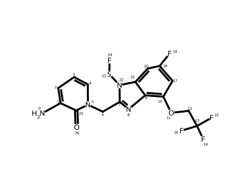 Nc1cccn(Cc2nc3c(OCC(F)(F)F)cc(F)cc3n2SF)c1=O